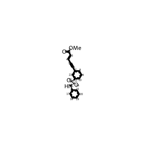 COC(=O)C=CC#Cc1cccc(S(=O)(=O)Nc2ccccc2)c1